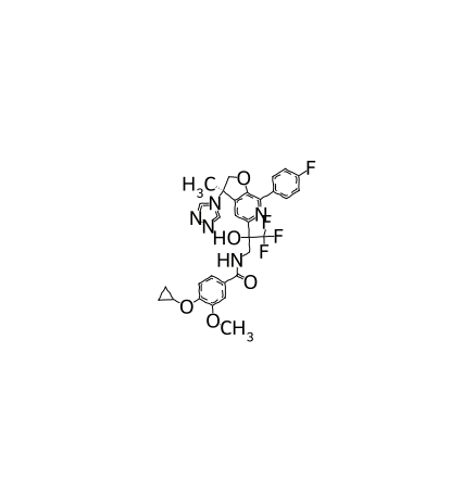 COc1cc(C(=O)NCC(O)(c2cc3c(c(-c4ccc(F)cc4)n2)OC[C@]3(C)n2cnnc2)C(F)(F)F)ccc1OC1CC1